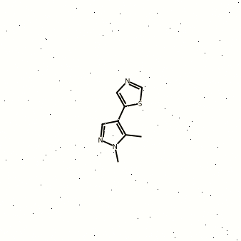 Cc1c(-c2cncs2)cnn1C